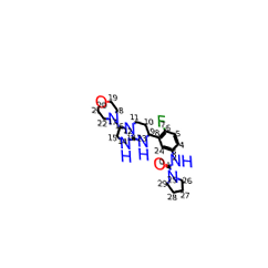 O=C(Nc1ccc(F)c(C2CCN3C(NCC3N3CCOCC3)N2)c1)N1CCCC1